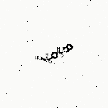 C#CCNC(=O)c1ccc(NC(=O)N2Cc3ccccc3C2)cc1